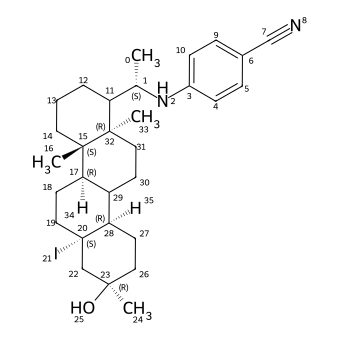 C[C@H](Nc1ccc(C#N)cc1)C1CCC[C@@]2(C)[C@@H]3CC[C@]4(I)C[C@](C)(O)CC[C@@H]4C3CC[C@]12C